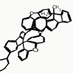 CC1(C)c2ccccc2-c2ccc(N(c3ccc4c(c3)C3(c5ccccc5O4)c4cc(C5CCCCC5)ccc4-c4ccc(C5CCCCC5)cc43)c3cccc4oc5ccccc5c34)cc21